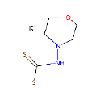 S=C([S-])NN1CCOCC1.[K+]